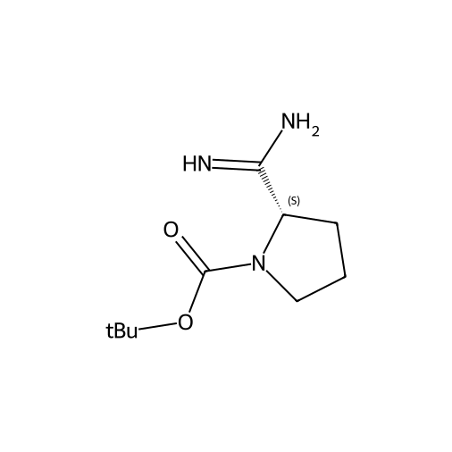 CC(C)(C)OC(=O)N1CCC[C@H]1C(=N)N